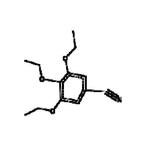 CCOc1cc(C#N)cc(OCC)c1OCC